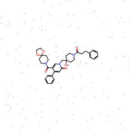 O=C(CCc1ccccc1)N1CCC(O)(Cn2cc(C(=O)N3CCC4(CC3)OCCO4)c(-c3ccccc3)cc2=O)CC1